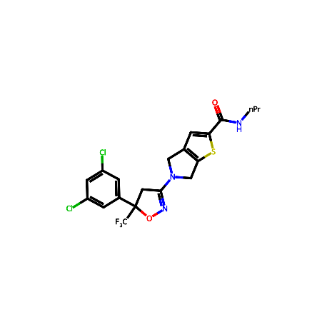 CCCNC(=O)c1cc2c(s1)CN(C1=NOC(c3cc(Cl)cc(Cl)c3)(C(F)(F)F)C1)C2